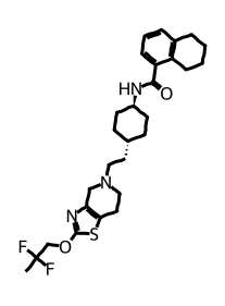 CC(F)(F)COc1nc2c(s1)CCN(CC[C@H]1CC[C@H](NC(=O)c3cccc4c3CCCC4)CC1)C2